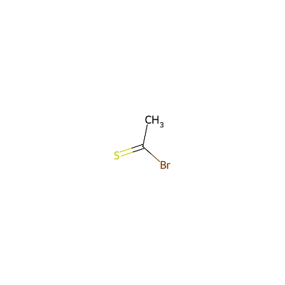 CC(=S)Br